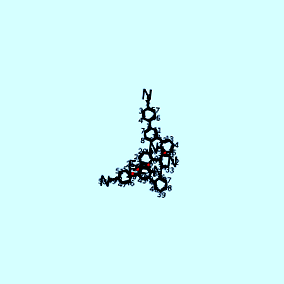 N#Cc1ccc(-c2ccc3c(c2)c2ccccc2n3-c2ccc(C(F)(F)F)cc2-c2ccncc2-n2c3ccccc3c3cc(-c4ccc(C#N)cc4)ccc32)cc1